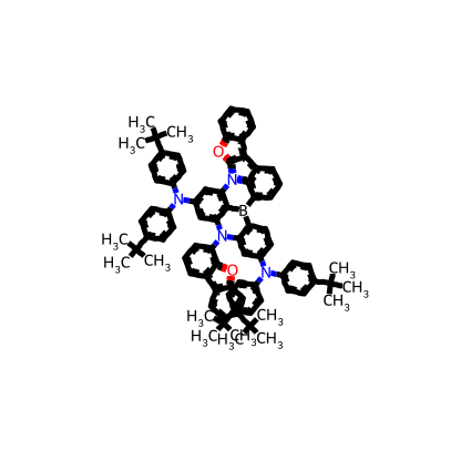 CC(C)(C)c1ccc(N(c2ccc(C(C)(C)C)cc2)c2ccc3c(c2)N(c2cccc4c2oc2cc(C(C)(C)C)ccc24)c2cc(N(c4ccc(C(C)(C)C)cc4)c4ccc(C(C)(C)C)cc4)cc4c2B3c2cccc3c5c6ccccc6oc5n-4c23)cc1